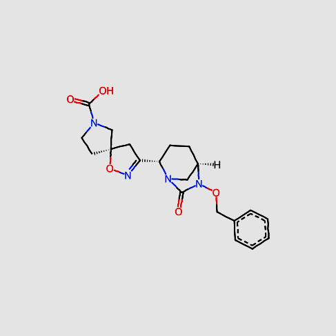 O=C(O)N1CC[C@@]2(CC([C@@H]3CC[C@@H]4CN3C(=O)N4OCc3ccccc3)=NO2)C1